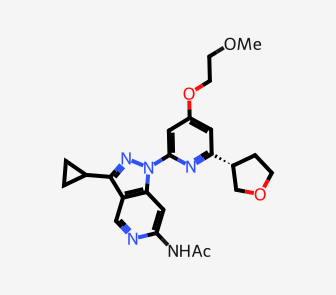 COCCOc1cc([C@@H]2CCOC2)nc(-n2nc(C3CC3)c3cnc(NC(C)=O)cc32)c1